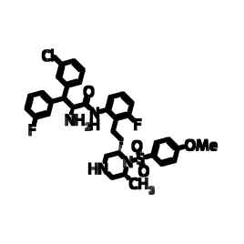 COc1ccc(S(=O)(=O)N2[C@@H](CCc3c(F)cccc3NC(=O)[C@@H](N)C(c3cccc(F)c3)c3cccc(Cl)c3)CNC[C@@H]2C)cc1